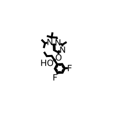 CCCC(O)(OC1=NC(C)N2CC(C)(C)N(C(C)C)C2=C1)c1cc(F)cc(F)c1